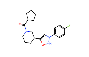 O=C(C1CCCC1)N1CCC[C@H](C2=CN(c3ccc(F)cc3)NO2)C1